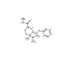 CN(C)C1(O)CCN(C(=O)OC(C)(C)C)CC1OCc1ccccc1